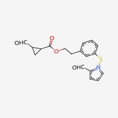 O=Cc1cccn1Sc1cccc(CCOC(=O)C2CC2C=O)c1